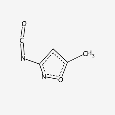 Cc1cc(N=C=O)no1